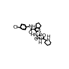 O=C(Nc1ccc(Cl)cc1)c1c(NS(=O)(=O)NC(=O)C2CCCCN2)sc2c1CCC2